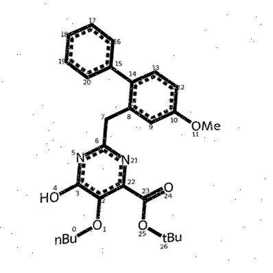 CCCCOc1c(O)nc(Cc2cc(OC)ccc2-c2ccccc2)nc1C(=O)OC(C)(C)C